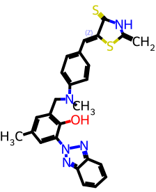 C=c1[nH]c(=S)/c(=C/c2ccc(N(C)Cc3cc(C)cc(-n4nc5ccccc5n4)c3O)cc2)s1